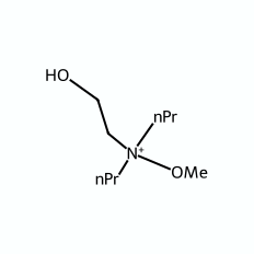 CCC[N+](CCC)(CCO)OC